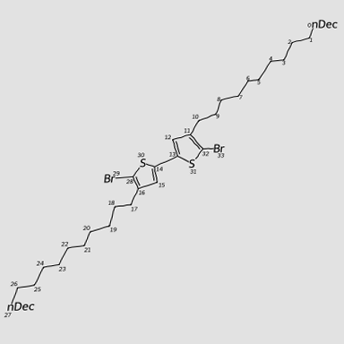 CCCCCCCCCCCCCCCCCCCCc1cc(-c2cc(CCCCCCCCCCCCCCCCCCCC)c(Br)s2)sc1Br